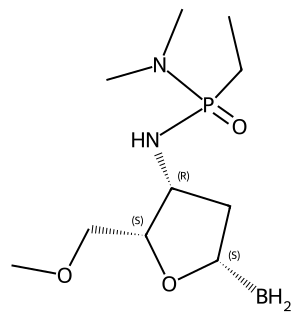 B[C@H]1C[C@@H](NP(=O)(CC)N(C)C)[C@@H](COC)O1